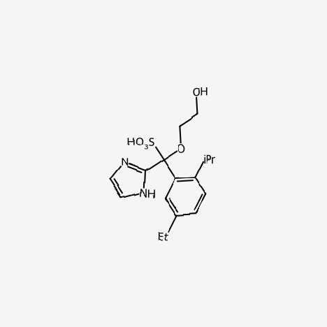 CCc1ccc(C(C)C)c(C(OCCO)(c2ncc[nH]2)S(=O)(=O)O)c1